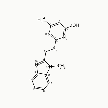 Cc1cc(O)nc(SCc2nc3ccccc3n2C)n1